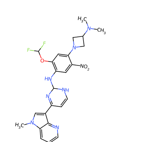 CN(C)C1CN(c2cc(OC(F)F)c(NC3N=C(c4cn(C)c5cccnc45)C=CN3)cc2[N+](=O)[O-])C1